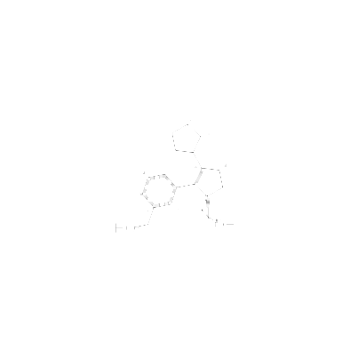 OCc1cccc(C2=C(C3CCCC3)CCC2=NO)c1